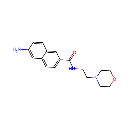 Nc1ccc2cc(C(=O)NCCN3CCOCC3)ccc2c1